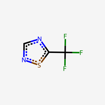 FC(F)(F)c1ncns1